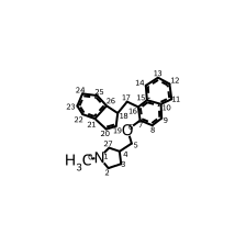 CN1CCC(COc2ccc3ccccc3c2CC2C=Cc3ccccc32)C1